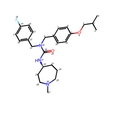 CC(C)COc1ccc(CN(Cc2ccc(F)cc2)C(=O)N[C@H]2CCCN(C)CC2)cc1